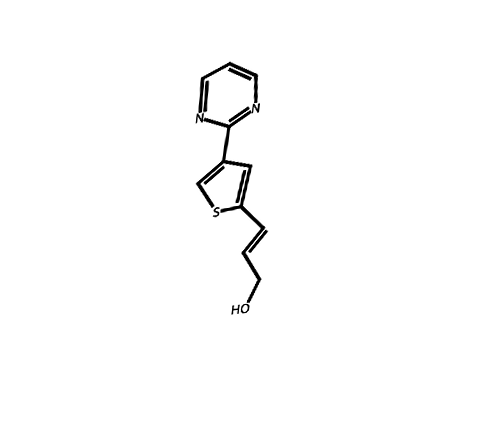 OCC=Cc1cc(-c2ncccn2)cs1